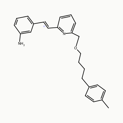 Cc1ccc(CCCCOCc2cccc(/C=C/c3cccc(N)c3)n2)cc1